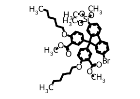 CCCCCCOc1ccc(C2(c3ccc(OCCCCCC)c(C(=O)OC)c3)c3cc(Br)ccc3-c3ccc([Si](OC)(OC)OC)cc32)cc1C(=O)OC